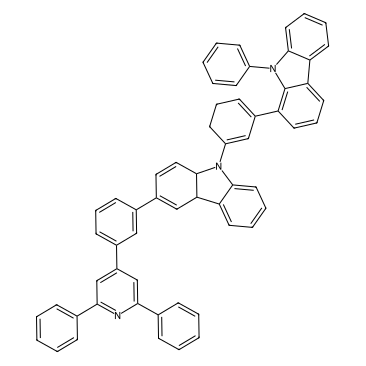 C1=CC2C(C=C1c1cccc(-c3cc(-c4ccccc4)nc(-c4ccccc4)c3)c1)c1ccccc1N2C1=CC(c2cccc3c4ccccc4n(-c4ccccc4)c23)=CCC1